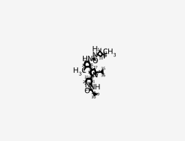 Cc1ccc(NC(=O)N[C@H]2C[C@](C)(F)C2)cc1-c1cc(-c2ccnc(NC(=O)C3CC3)c2)nc(C2CC2)c1